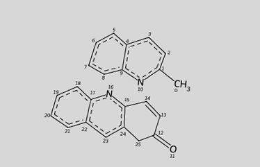 Cc1ccc2ccccc2n1.O=C1C=Cc2nc3ccccc3cc2C1